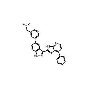 CN(C)Cc1cncc(-c2ccc3[nH]nc(-c4nc5c(-c6ccccn6)ccnc5[nH]4)c3n2)c1